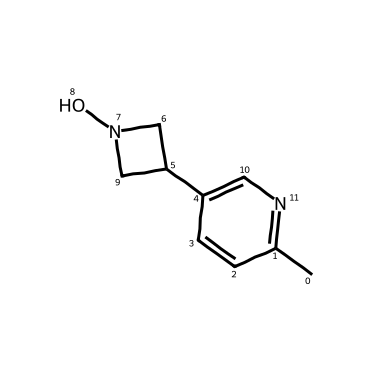 Cc1ccc(C2CN(O)C2)cn1